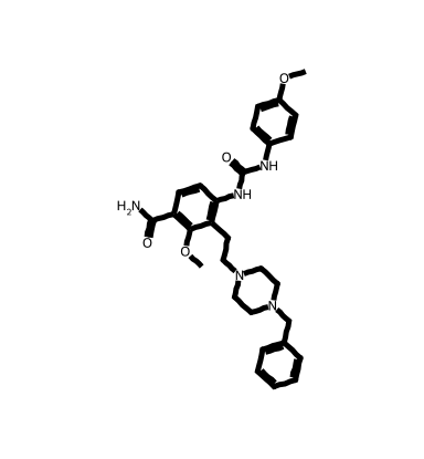 COc1ccc(NC(=O)Nc2ccc(C(N)=O)c(OC)c2CCN2CCN(Cc3ccccc3)CC2)cc1